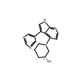 O[C@@H]1CCCN(c2ccnc3[nH]cc(-c4cncnc4)c23)C1